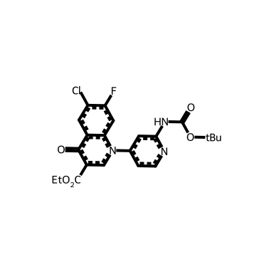 CCOC(=O)c1cn(-c2ccnc(NC(=O)OC(C)(C)C)c2)c2cc(F)c(Cl)cc2c1=O